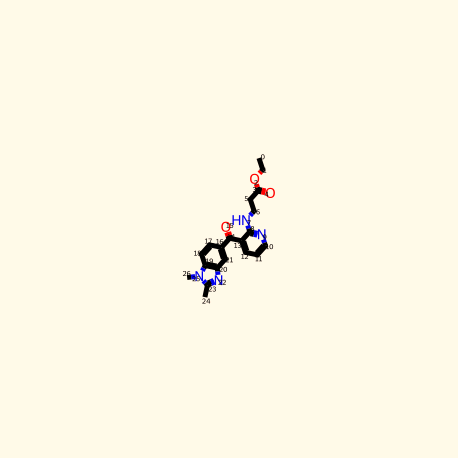 CCOC(=O)CCNc1ncccc1C(=O)c1ccc2c(c1)nc(C)n2C